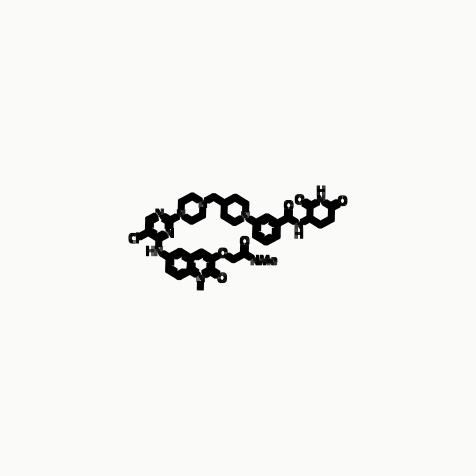 CNC(=O)COc1cc2cc(Nc3nc(N4CCN(CC5CCN(c6cccc(C(=O)NC7CCC(=O)NC7=O)c6)CC5)CC4)ncc3Cl)ccc2n(C)c1=O